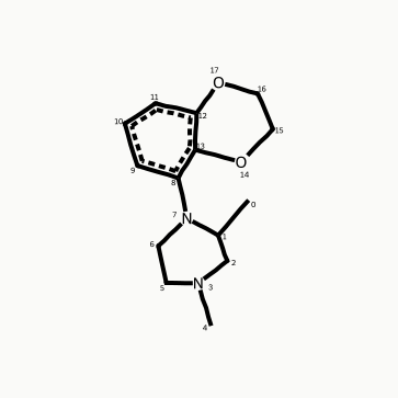 CC1CN(C)CCN1c1cccc2c1OCCO2